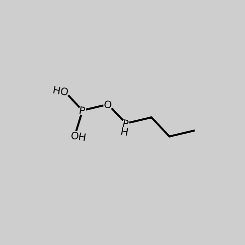 CCCPOP(O)O